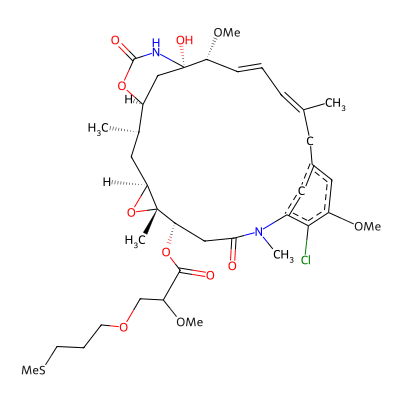 COc1cc2cc(c1Cl)N(C)C(=O)C[C@H](OC(=O)C(COCCCSC)OC)[C@]1(C)O[C@H]1C[C@H](C)[C@@H]1C[C@@](O)(NC(=O)O1)[C@H](OC)/C=C/C=C(\C)C2